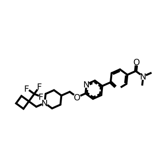 C=C(/C=C\C(=C/C)C(=O)N(C)C)c1ccc(OCC2CCN(CC3(C(F)(F)F)CCC3)CC2)nc1